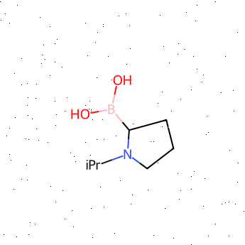 CC(C)N1CCCC1B(O)O